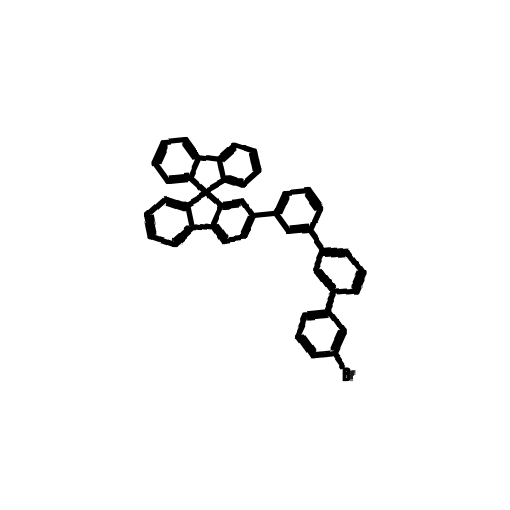 Brc1cccc(-c2cccc(-c3cccc(-c4ccc5c(c4)C4(c6ccccc6-c6ccccc64)c4ccccc4-5)c3)c2)c1